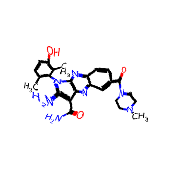 Cc1ccc(O)c(C)c1-n1c(N)c(C(N)=O)c2nc3cc(C(=O)N4CCN(C)CC4)ccc3nc21